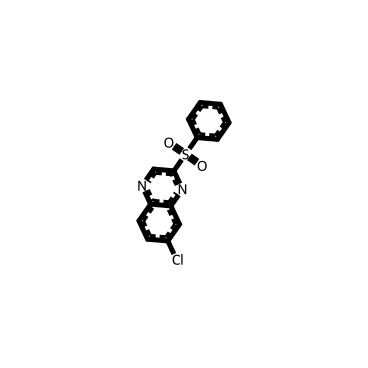 O=S(=O)(c1ccccc1)c1cnc2ccc(Cl)cc2n1